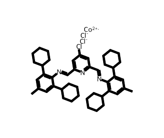 Cc1cc(C2CCCCC2)c(N=Cc2cc(Cl)cc(C=Nc3c(C4CCCCC4)cc(C)cc3C3CCCCC3)n2)c(C2CCCCC2)c1.[Cl-].[Cl-].[Co+2]